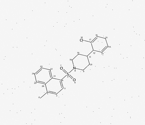 Cc1ccc(S(=O)(=O)N2CCC(C3C=CCC=C3Cl)CC2)c2ccccc12